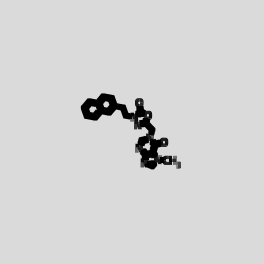 Cn1cnc2ncn(Cc3nn(CCc4ccc5ccccc5c4)c(=O)o3)c(=O)c21